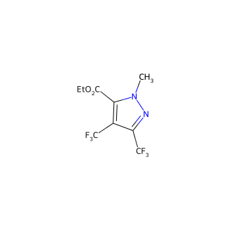 CCOC(=O)c1c(C(F)(F)F)c(C(F)(F)F)nn1C